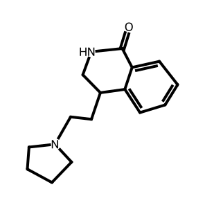 O=C1NCC(CCN2CCCC2)c2ccccc21